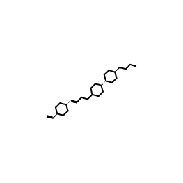 C=C[C@H]1CC[C@H](/C=C/CCC2CCC([C@H]3CC[C@H](CCCC)CC3)CC2)CC1